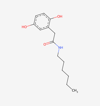 CCCCCCNC(=O)Cc1cc(O)ccc1O